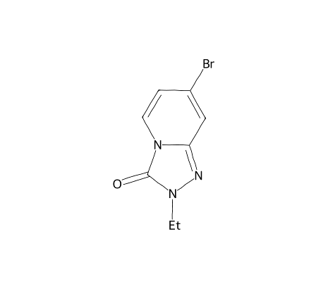 CCn1nc2cc(Br)ccn2c1=O